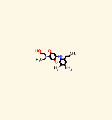 CCCc1cc(N)c(C)cc1NC1=CC(=O)C(N(CC)CCO)=CC1=O